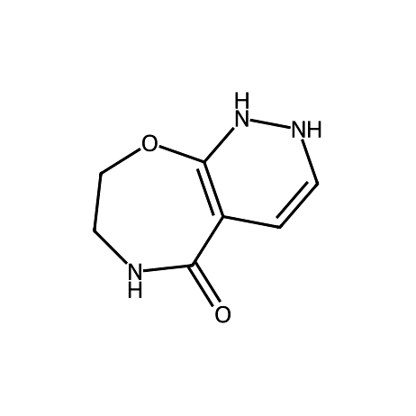 O=C1NCCOC2=C1C=CNN2